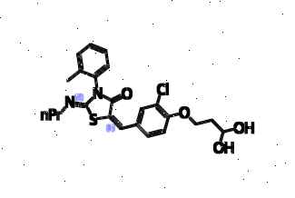 CCC/N=C1\S/C(=C/c2ccc(OCCC(O)O)c(Cl)c2)C(=O)N1c1ccccc1C